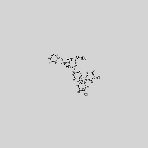 CC(C)(C)OC(=O)N/C(=N\Sc1ccccc1)NCc1ccc(-c2ccc(Cl)cc2)c(-c2ccc(Cl)cc2)n1